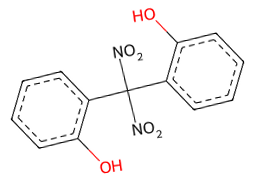 O=[N+]([O-])C(c1ccccc1O)(c1ccccc1O)[N+](=O)[O-]